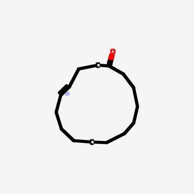 O=C1CC/C=C/CCCCCCCCCC1